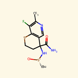 CC(C)(C)[S@+]([O-])NC1(C(N)=O)CCSc2c1cnc(C(F)(F)F)c2F